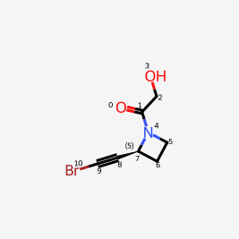 O=C(CO)N1CC[C@H]1C#CBr